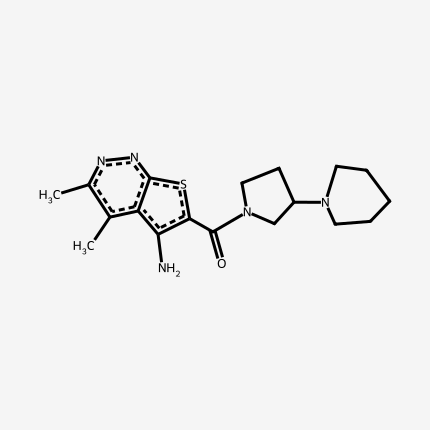 Cc1nnc2sc(C(=O)N3CCC(N4CCCCC4)C3)c(N)c2c1C